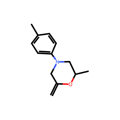 C=C1CN(c2ccc(C)cc2)CC(C)O1